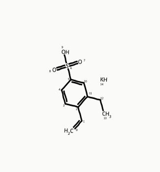 C=Cc1ccc(S(=O)(=O)O)cc1CC.[KH]